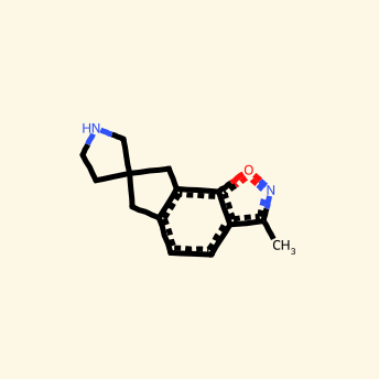 Cc1noc2c3c(ccc12)CC1(CCNC1)C3